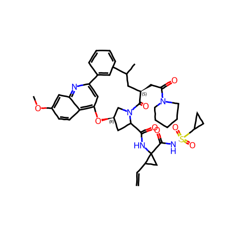 C=CC1CC1(NC(=O)C1C[C@@H](Oc2cc(-c3ccccc3)nc3cc(OC)ccc23)CN1C(=O)[C@H](CC(=O)N1CCCCC1)CC(C)C)C(=O)NS(=O)(=O)C1CC1